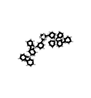 c1ccc([Si](c2ccccc2)(c2cccc(-c3ncnc(-c4cccc(-n5c6ccccc6c6cc(-n7c8ccccc8c8ccccc87)ccc65)c4)n3)c2)c2cccc3c2oc2ccccc23)cc1